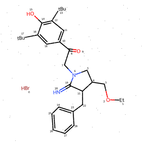 Br.CCOCC1CN(CC(=O)c2cc(C(C)(C)C)c(O)c(C(C)(C)C)c2)C(=N)C1Cc1ccccc1